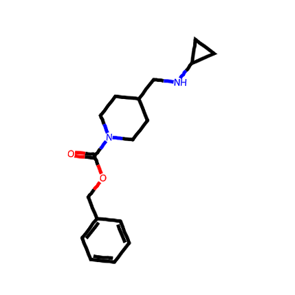 O=C(OCc1ccccc1)N1CCC(CNC2CC2)CC1